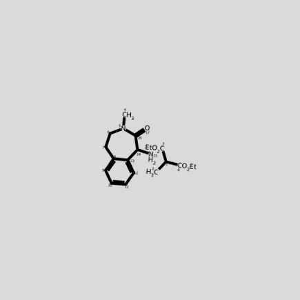 CCOC(=O)C(C)C(=O)OCC.CN1CCc2ccccc2C(N)C1=O